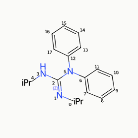 CC(C)/N=C(/NC(C)C)N(c1ccccc1)c1ccccc1